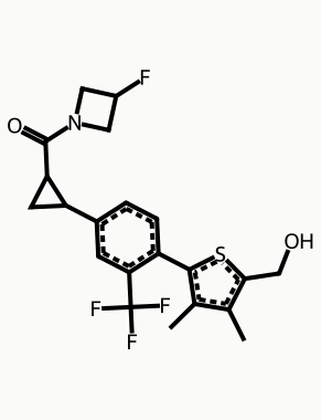 Cc1c(CO)sc(-c2ccc(C3CC3C(=O)N3CC(F)C3)cc2C(F)(F)F)c1C